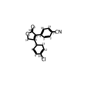 N#Cc1ccc(C2=C(C3C=CC(Cl)=CC3)COC2=O)cc1